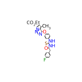 CCOC(=O)c1cn2ncnc(Oc3ccc(NC(=S)NC(=O)Cc4ccc(F)cc4)cc3)c2c1C